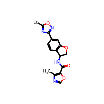 CCc1nc(-c2ccc3c(c2)OCC3NC(=O)c2ocnc2C)no1